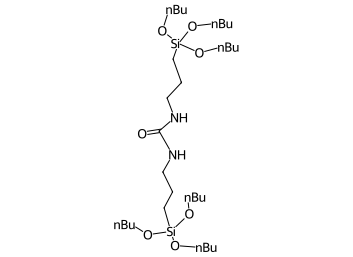 CCCCO[Si](CCCNC(=O)NCCC[Si](OCCCC)(OCCCC)OCCCC)(OCCCC)OCCCC